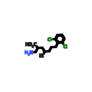 CCC(CCCc1c(Cl)cccc1Cl)CC(CN)C(=O)O